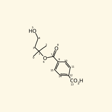 CC(C)(CCO)OC(=O)c1ccc(C(=O)O)cc1